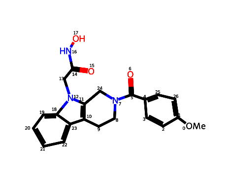 COc1ccc(C(=O)N2CCc3c(n(CC(=O)NO)c4ccccc34)C2)cc1